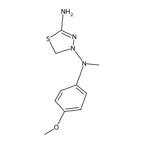 COc1ccc(N(C)N2CSC(N)=N2)cc1